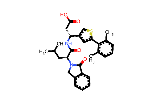 Cc1cccc(C)c1-c1cc([C@@H](CC(=O)O)NC(=O)[C@H](CC(C)C)N2Cc3ccccc3C2=O)cs1